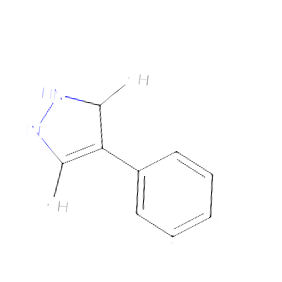 CC1=C(c2ccccc2)C(C)NN1